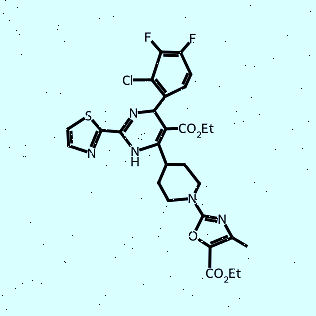 CCOC(=O)C1=C(C2CCN(c3nc(C)c(C(=O)OCC)o3)CC2)NC(c2nccs2)=NC1c1ccc(F)c(F)c1Cl